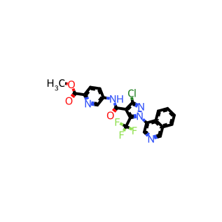 COC(=O)c1ccc(NC(=O)c2c(Cl)nn(-c3cncc4ccccc34)c2C(F)(F)F)cn1